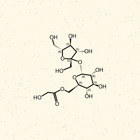 O=C(CO)OC[C@H]1O[C@H](O[C@]2(CO)O[C@H](CO)[C@@H](O)[C@@H]2O)[C@H](O)[C@@H](O)[C@@H]1O